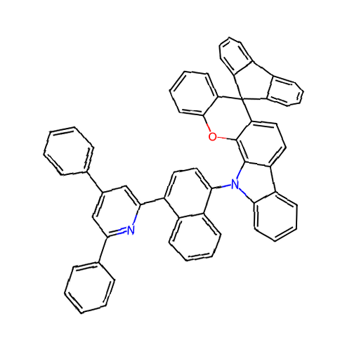 c1ccc(-c2cc(-c3ccccc3)nc(-c3ccc(-n4c5ccccc5c5ccc6c(c54)Oc4ccccc4C64c5ccccc5-c5ccccc54)c4ccccc34)c2)cc1